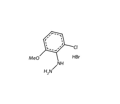 Br.COc1cccc(Cl)c1NN